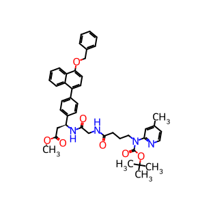 COC(=O)C[C@H](NC(=O)CNC(=O)CCCN(C(=O)OC(C)(C)C)c1cc(C)ccn1)c1ccc(-c2ccc(OCc3ccccc3)c3ccccc23)cc1